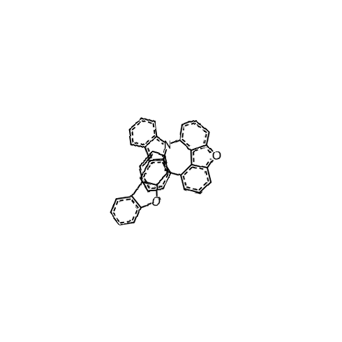 C1=CC2c3ccccc3OC2C(c2cccc3oc4cccc(-n5c6ccccc6c6ccccc65)c4c23)=C1